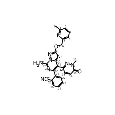 Cc1cccc(COc2nc3c(-c4ccc(=O)n(C)n4)c(-c4ccccc4C#N)nc(N)n3n2)n1